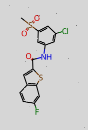 CS(=O)(=O)c1cc(Cl)cc(NC(=O)c2cc3ccc(F)cc3s2)c1